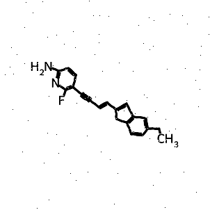 CCc1ccc2c(c1)C=C(/C=C/C#Cc1ccc(N)nc1F)C2